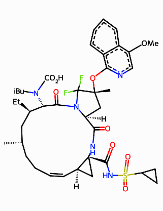 CCC(C)N(C(=O)O)[C@@H]1C(=O)N2[C@@H](C[C@@](C)(Oc3ncc(OC)c4ccccc34)C2(F)F)C(=O)N[C@]2(C(=O)NS(=O)(=O)C3CC3)C[C@H]2/C=C\CC[C@H](C)C[C@H]1CC